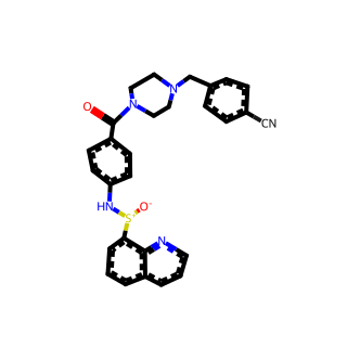 N#Cc1ccc(CN2CCN(C(=O)c3ccc(N[S+]([O-])c4cccc5cccnc45)cc3)CC2)cc1